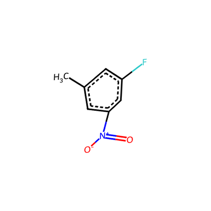 Cc1cc(F)cc([N+](=O)[O-])c1